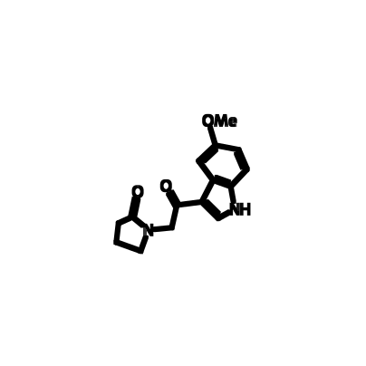 COc1ccc2[nH]cc(C(=O)CN3CCCC3=O)c2c1